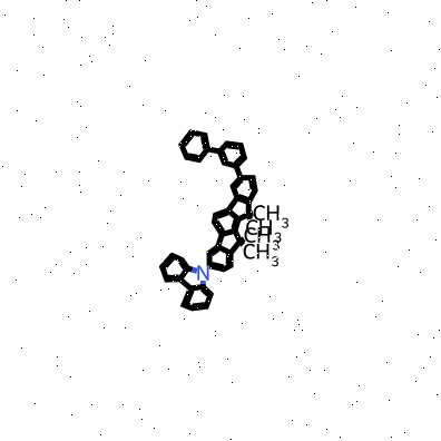 CC1(C)c2ccc(-c3cccc(-c4ccccc4)c3)cc2-c2ccc3c(c21)C(C)(C)c1ccc(-n2c4ccccc4c4ccccc42)cc1-3